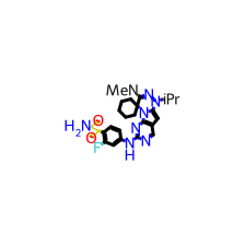 CNC1=NN(C(C)C)c2cc3cnc(Nc4ccc(S(N)(=O)=O)c(F)c4)nc3n2C12CCCCC2